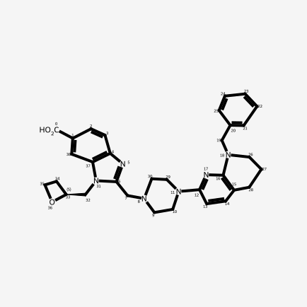 O=C(O)c1ccc2nc(CN3CCN(c4ccc5c(n4)N(Cc4ccccc4)CCC5)CC3)n(C[C@@H]3CCO3)c2c1